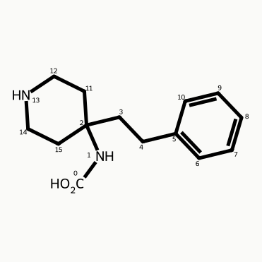 O=C(O)NC1(CCc2ccccc2)CCNCC1